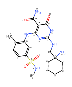 Cc1ccc(S(=O)(=O)NC(C)C)cc1Nc1nc(NCC2(N)CCCCC2)[nH]c(=O)c1C(N)=O